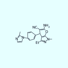 CCc1nn(C)c2c1C(c1ccc(-n3ccnc3C)cc1)C(C#N)=C(N)O2